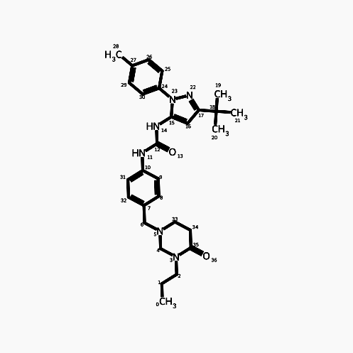 CCCN1CN(Cc2ccc(NC(=O)Nc3cc(C(C)(C)C)nn3-c3ccc(C)cc3)cc2)CCC1=O